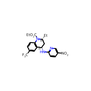 CCOC(=O)N1c2ccc(C(F)(F)F)cc2[C@@H](Nc2ccc([N+](=O)[O-])cn2)C[C@H]1CC